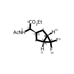 CCOC(=O)C(NC(C)=O)[C@@H]1C[C@@H]2[C@H](C1)C2(F)F